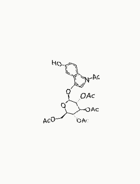 CC(=O)OC[C@H]1O[C@@H](Oc2cn(C(C)=O)c3ccc(O)cc23)[C@H](OC(C)=O)[C@@H](OC(C)=O)[C@@H]1OC(C)=O